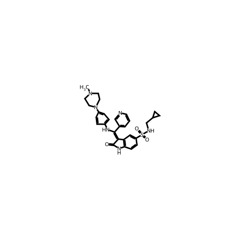 CN1CCN(c2ccc(N/C(=C3\C(=O)Nc4ccc(S(=O)(=O)NCC5CC5)cc43)c3cccnc3)cc2)CC1